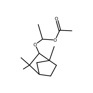 CC(=O)OC(C)OC1C2(C)CCC(C2)C1(C)C